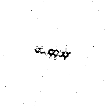 Cc1cc(C)c(CN2CCc3ccc(OCCN4CCOC4=O)c(Cl)c3C2=O)c(=O)[nH]1